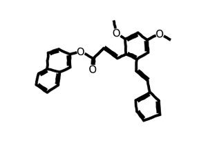 COc1cc(/C=C/c2ccccc2)c(/C=C/C(=O)Oc2ccc3ccccc3c2)c(OC)c1